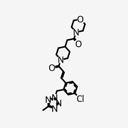 Cc1nnn(Cc2cc(Cl)ccc2C=CC(=O)N2CCC(CC(=O)N3CCOCC3)CC2)n1